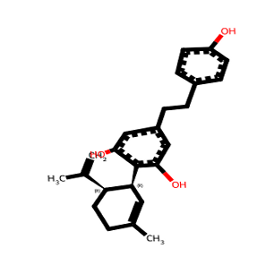 C=C(C)[C@@H]1CCC(C)=C[C@@H]1c1c(O)cc(CCc2ccc(O)cc2)cc1O